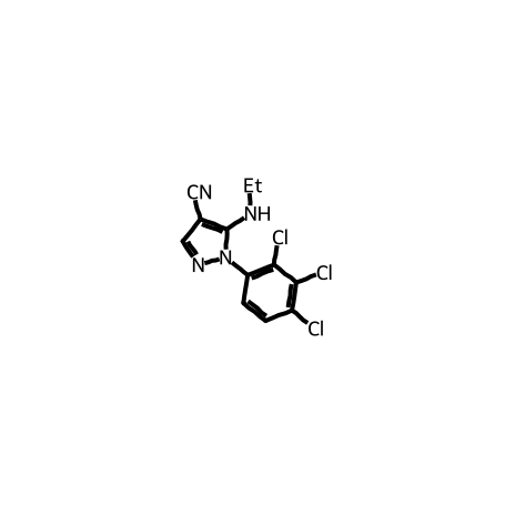 CCNc1c(C#N)cnn1-c1ccc(Cl)c(Cl)c1Cl